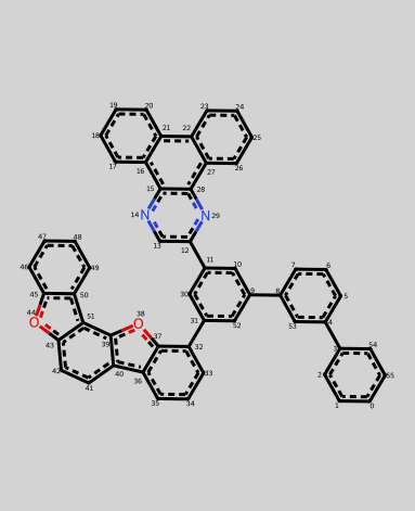 c1ccc(-c2cccc(-c3cc(-c4cnc5c6ccccc6c6ccccc6c5n4)cc(-c4cccc5c4oc4c5ccc5oc6ccccc6c54)c3)c2)cc1